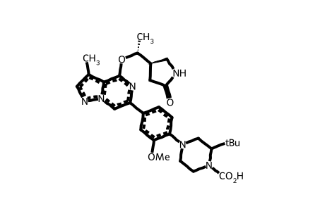 COc1cc(-c2cn3ncc(C)c3c(O[C@H](C)[C@H]3CNC(=O)C3)n2)ccc1N1CCN(C(=O)O)C(C(C)(C)C)C1